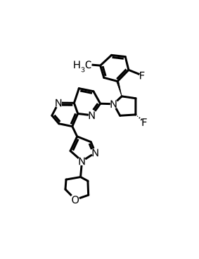 Cc1ccc(F)c([C@H]2C[C@H](F)CN2c2ccc3nccc(-c4cnn(C5CCOCC5)c4)c3n2)c1